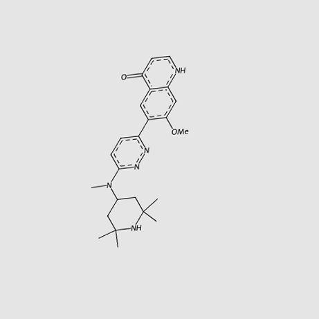 COc1cc2[nH]ccc(=O)c2cc1-c1ccc(N(C)C2CC(C)(C)NC(C)(C)C2)nn1